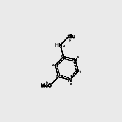 COc1cc(NC(C)(C)C)ncn1